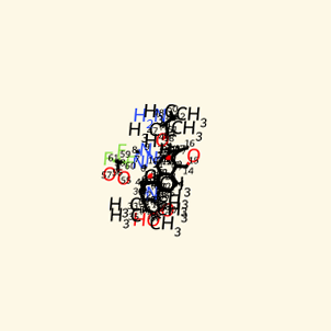 CCn1cc[c+](-c2ncnn2[C@@H]2C[C@@]34COC[C@](C)([C@@H]3CC[C@H]3C4=CC[C@@]4(C)[C@H](C(=O)O)[C@@](C)([C@H](C)C(C)C)CC[C@]34C)[C@H]2OC[C@](C)(N)C(C)(C)C)cc1.O=C([O-])C(F)(F)F